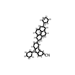 N#Cc1ccc2c(c1)c1cc(-c3cc4ccc5cc(-c6cccnc6)cc6ccc(c3)c4c56)ccc1n2-c1ccccc1